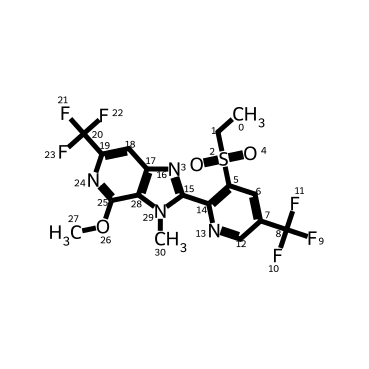 CCS(=O)(=O)c1cc(C(F)(F)F)cnc1-c1nc2cc(C(F)(F)F)nc(OC)c2n1C